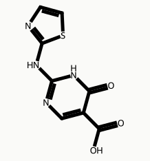 O=C(O)c1cnc(Nc2nccs2)[nH]c1=O